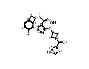 O=C(c1nc[nH]n1)N1CC(Oc2nonc2/C(=N\O)N[C@H]2Cc3ccc(F)cc32)C1